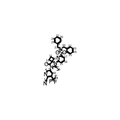 N#Cc1ncc(N2C(=O)C3(CCC3)N(c3cccc(S(=O)(=O)N(Cc4ccccc4)Cc4ccccc4)n3)C2=S)cc1C(F)(F)F